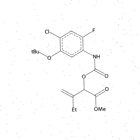 C=C(CC)C(OC(=O)Nc1cc(OC(C)(C)C)c(Cl)cc1F)C(=O)OC